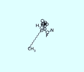 CCCCCCCCCCCCCCCCOC[C@@H](COP(=O)(OC)Oc1ccccc1Cl)OCc1cc(F)cc(C#N)c1